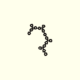 C1=CC(N(c2ccc(-c3ccc(N(c4ccccc4)c4ccc(-c5ccc(-c6ccc(N(c7ccccc7)c7ccc(C8C=CC(N(c9ccccc9)c9ccc(-c%10ccccc%10)cc9)=CC8)cc7)cc6)cc5)cc4)cc3)cc2)C2C=CC(c3ccccc3)=CC2)=CCC1